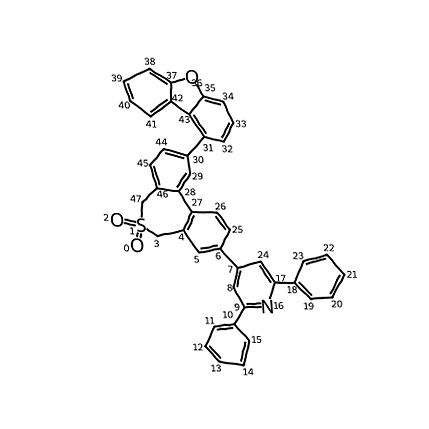 O=S1(=O)Cc2cc(-c3cc(-c4ccccc4)nc(-c4ccccc4)c3)ccc2-c2cc(-c3cccc4oc5ccccc5c34)ccc2C1